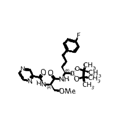 COC[C@@H](NC(=O)c1cnccn1)C(=O)N[C@@H](CCCc1ccc(F)cc1)B1OC(C)(C)C(C)(C)O1